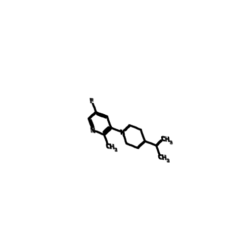 Cc1ncc(F)cc1N1CCC(C(C)C)CC1